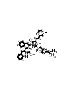 CC(C)c1nc(CN(C)C(=O)N[C@@H](CCC2CNCCO2)C(=O)N[C@H](CC[C@H](Cc2ccccc2)NC(=O)O)Cc2ccccc2)cs1